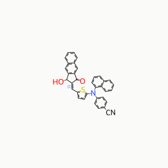 N#Cc1ccc(N(c2ccc(/C=C3\C(=O)c4cc5ccccc5cc4C3O)s2)c2cccc3ccccc23)cc1